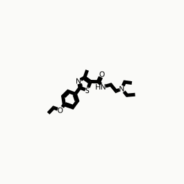 CCOc1ccc(-c2nc(C)c(C(=O)NCCN(CC)CC)s2)cc1